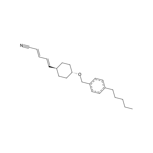 CCCCCc1ccc(CO[C@H]2CC[C@H](C=CC=CC#N)CC2)cc1